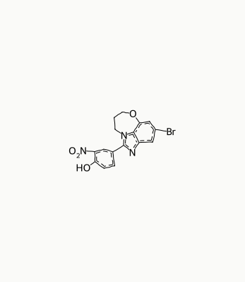 O=[N+]([O-])c1cc(-c2nc3cc(Br)cc4c3n2CCCO4)ccc1O